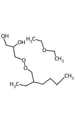 CCCCC(CC)COOCC(O)CO.CCOCC